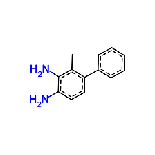 Cc1c(-c2ccccc2)ccc(N)c1N